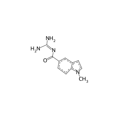 Cn1ccc2cc(C(=O)N=C(N)N)ccc21